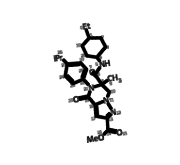 CCC1CCC(NC(=O)C2(C)Cn3nc(C(=O)OC)cc3C(=O)N2c2ccc(C(C)C)cc2)CC1